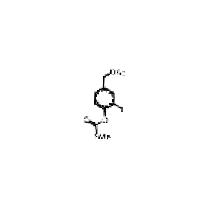 CSC(=O)Oc1ccc(COC(C)=O)cc1F